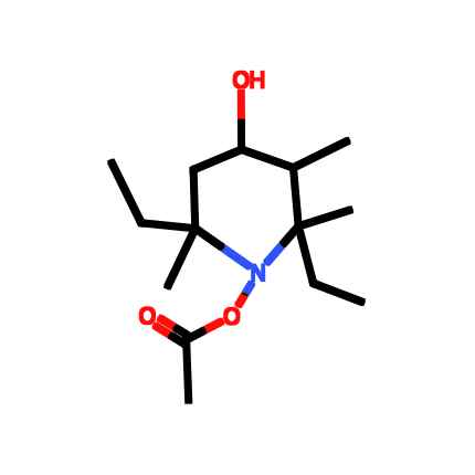 CCC1(C)CC(O)C(C)C(C)(CC)N1OC(C)=O